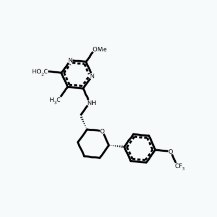 COc1nc(NC[C@H]2CCC[C@@H](c3ccc(OC(F)(F)F)cc3)O2)c(C)c(C(=O)O)n1